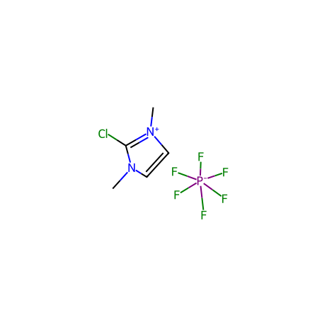 Cn1cc[n+](C)c1Cl.F[P-](F)(F)(F)(F)F